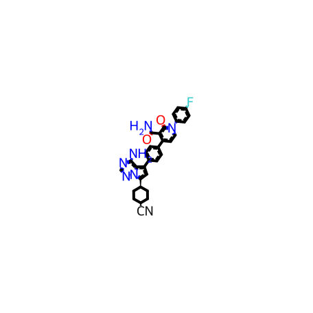 N#C[C@H]1CC[C@@H](c2cc(-c3ccc(-c4ccn(-c5ccc(F)cc5)c(=O)c4C(N)=O)cc3)c3c(N)ncnn32)CC1